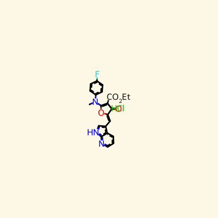 CCOC(=O)C1=C(N(C)c2ccc(F)cc2)OC(=Cc2c[nH]c3ncccc23)C1=O.Cl